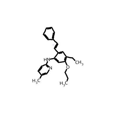 CCCOc1cc(Nc2ccc(C)cn2)c(/C=C/c2ccccc2)cc1CC